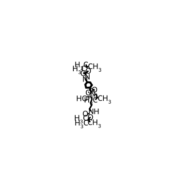 CC(C)CN([C@H](CO)CCCCNC(=O)OC(C)(C)C)S(=O)(=O)c1ccc(N=NC(=O)OC(C)(C)C)cc1